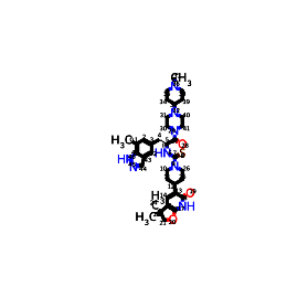 Cc1cc(C[C@@H](NC(=S)N2CCC(c3cc4c([nH]c3=O)OCC4(C)C)CC2)C(=O)N2CCN(C3CCN(C)CC3)CC2)cc2cn[nH]c12